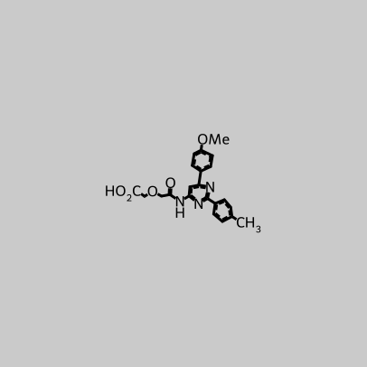 COc1ccc(-c2cc(NC(=O)COCC(=O)O)nc(-c3ccc(C)cc3)n2)cc1